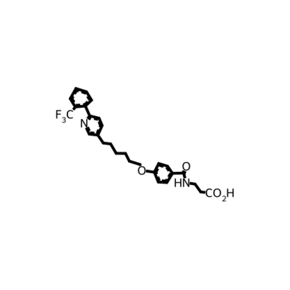 O=C(O)CCNC(=O)c1ccc(OCCCCCCc2ccc(-c3ccccc3C(F)(F)F)nc2)cc1